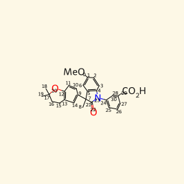 COc1ccc2c(c1)C(C)(c1ccc3c(c1)CCC(C)(C)O3)C(=O)N2c1cccc(C(=O)O)c1